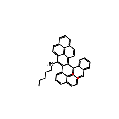 CCCCCNc1c(-c2cccc3ccccc23)c(-c2cccc3ccccc23)c2ccc3cccc4ccc1c2c43